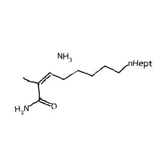 CCCCCCCCCCCCC=C(C)C(N)=O.N